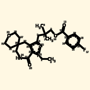 CCn1nc(CC(C)(C)COC(=O)c2ccc(F)cc2)c2c1C(=O)NCC1(CCOCC1)C2